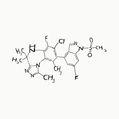 Cc1c(-c2cc(F)cc3c2cnn3S(C)(=O)=O)c(Cl)c(F)c2c1-n1c(C)nnc1C(C)(C)N2